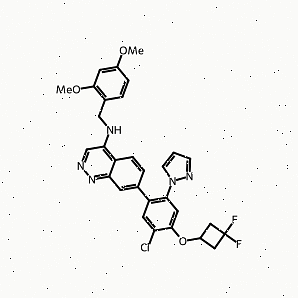 COc1ccc(CNc2cnnc3cc(-c4cc(Cl)c(OC5CC(F)(F)C5)cc4-n4cccn4)ccc23)c(OC)c1